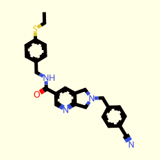 CCSc1ccc(CNC(=O)c2cnc3c(c2)CN(Cc2ccc(C#N)cc2)C3)cc1